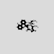 CCS(=O)(=O)N[C@@H](C)[C@@H]1[C@H](F)CN1C(=O)[C@@H]1C[C@@]1(F)c1ccccc1-c1c(F)cccc1F